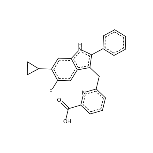 O=C(O)c1cccc(Cc2c(-c3ccccc3)[nH]c3cc(C4CC4)c(F)cc23)n1